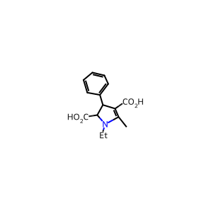 CCN1C(C)=C(C(=O)O)C(c2ccccc2)C1C(=O)O